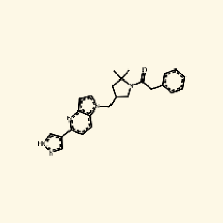 CC1(C)CC(Cn2ccc3nc(-c4cn[nH]c4)ccc32)CN1C(=O)Cc1ccccc1